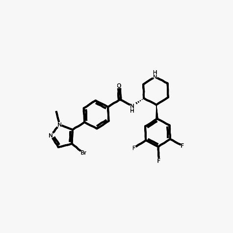 Cn1ncc(Br)c1-c1ccc(C(=O)N[C@@H]2CNCC[C@H]2c2cc(F)c(F)c(F)c2)cc1